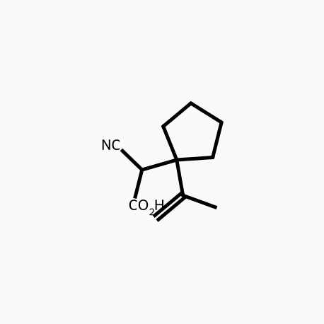 C=C(C)C1(C(C#N)C(=O)O)CCCC1